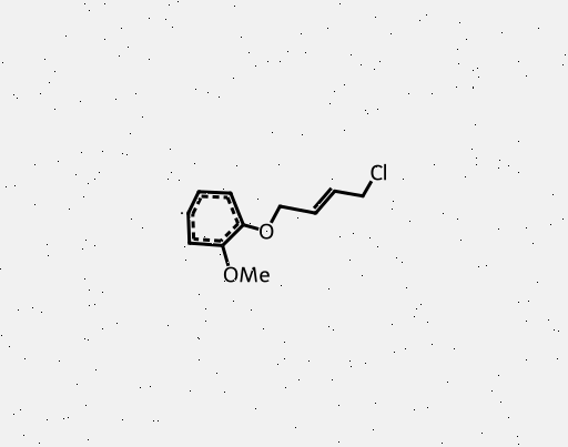 COc1c[c]ccc1OCC=CCCl